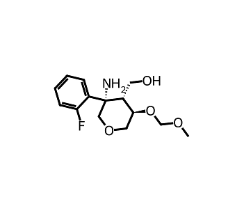 COCO[C@H]1COC[C@@](N)(c2ccccc2F)[C@@H]1CO